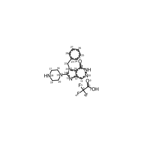 O=C(O)C(F)(F)F.O=c1[nH]ncc2nc(N3CCNCC3)n(Cc3ccccc3)c12